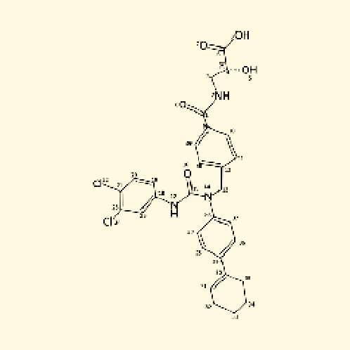 O=C(NC[C@@H](O)C(=O)O)c1ccc(CN(C(=O)Nc2ccc(Cl)c(Cl)c2)c2ccc(C3=CCCCC3)cc2)cc1